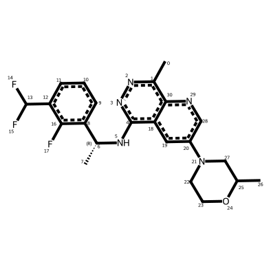 Cc1nnc(N[C@H](C)c2cccc(C(F)F)c2F)c2cc(N3CCOC(C)C3)cnc12